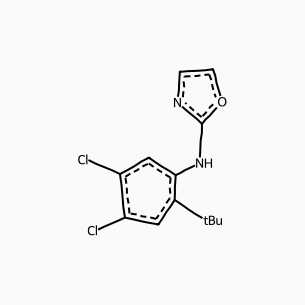 CC(C)(C)c1cc(Cl)c(Cl)cc1Nc1ncco1